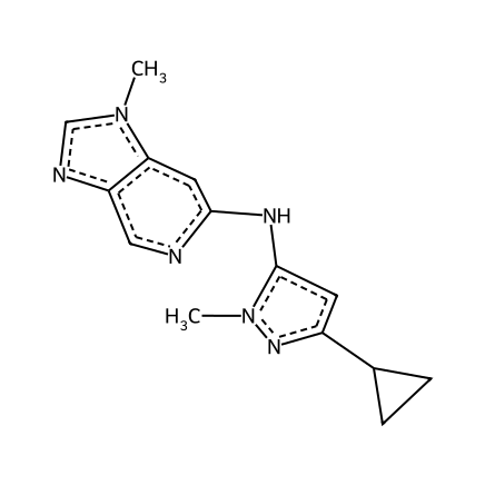 Cn1nc(C2CC2)cc1Nc1cc2c(cn1)ncn2C